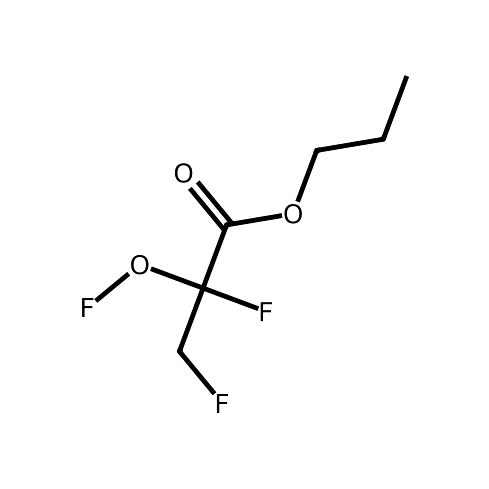 CCCOC(=O)C(F)(CF)OF